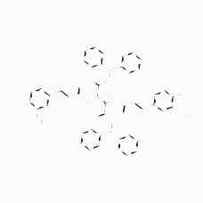 O=C(C=Cc1ccc(O)c(O)c1)O[C@H](C(=O)OC(c1ccccc1)c1ccccc1)[C@H](OC(=O)C=Cc1ccc(O)c(O)c1)C(=O)OC(c1ccccc1)c1ccccc1